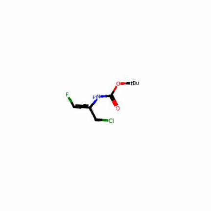 CC(C)(C)OC(=O)N/C(=C\F)CCl